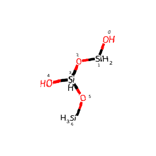 O[SiH2]O[SiH](O)O[SiH3]